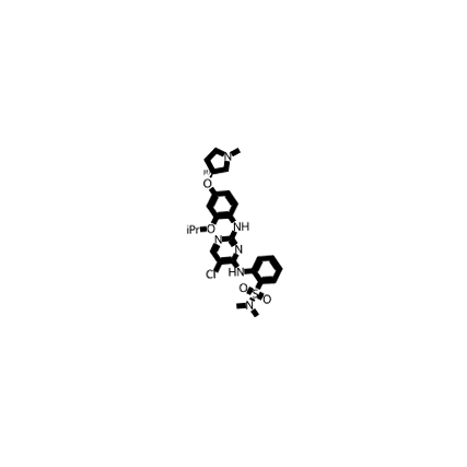 CC(C)Oc1cc(O[C@@H]2CCN(C)C2)ccc1Nc1ncc(Cl)c(Nc2ccccc2S(=O)(=O)N(C)C)n1